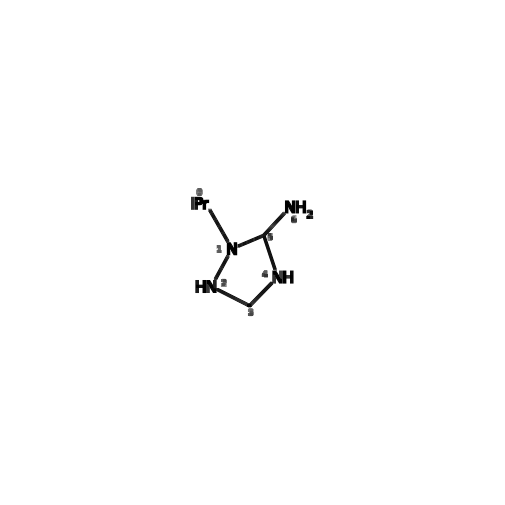 CC(C)N1NCNC1N